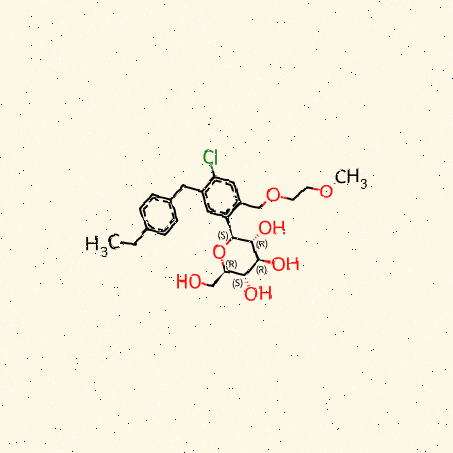 CCc1ccc(Cc2cc([C@@H]3O[C@H](CO)[C@@H](O)[C@H](O)[C@H]3O)c(COCCOC)cc2Cl)cc1